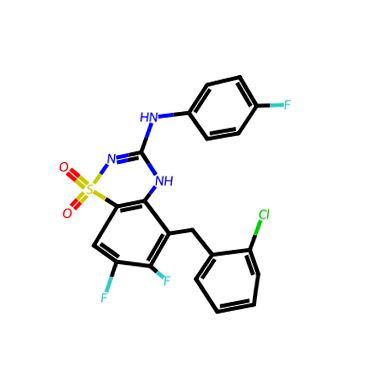 O=S1(=O)N=C(Nc2ccc(F)cc2)Nc2c1cc(F)c(F)c2Cc1ccccc1Cl